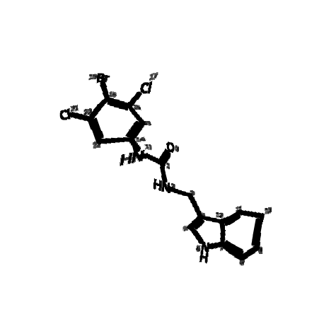 O=C(NCc1c[nH]c2ccccc12)Nc1cc(Cl)c(Br)c(Cl)c1